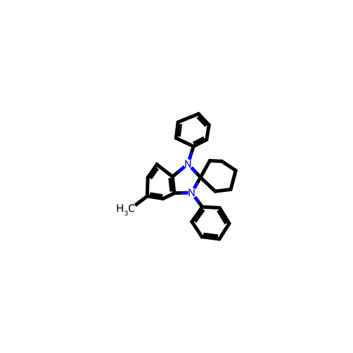 Cc1ccc2c(c1)N(c1ccccc1)C1(CCCCC1)N2c1ccccc1